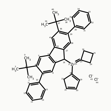 CC(C)(C)c1cc2c(cc1-c1ccccc1)[CH]([Zr+2]([C]1=CC=CC1)=[C]1CCC1)c1cc(-c3ccccc3)c(C(C)(C)C)cc1-2.[Cl-].[Cl-]